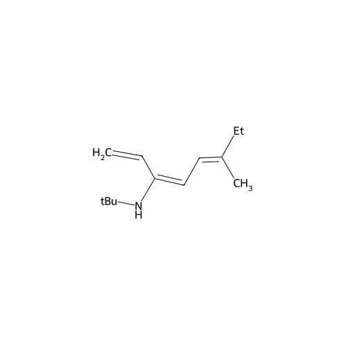 C=C/C(=C\C=C(/C)CC)NC(C)(C)C